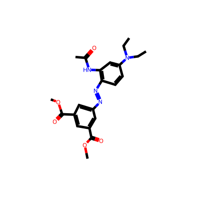 CCN(CC)c1ccc(N=Nc2cc(C(=O)OC)cc(C(=O)OC)c2)c(NC(C)=O)c1